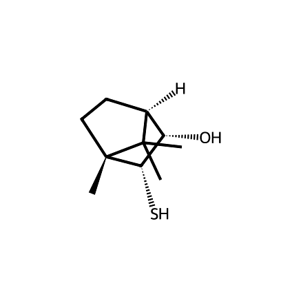 CC1(C)[C@H]2CC[C@@]1(C)[C@@H](S)[C@H]2O